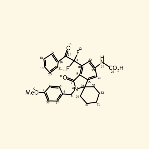 COc1ccc(CN2C(=O)c3c(C(F)(F)C(=O)c4ccccc4)cc(NC(=O)O)cc3C23CCCCC3)cc1